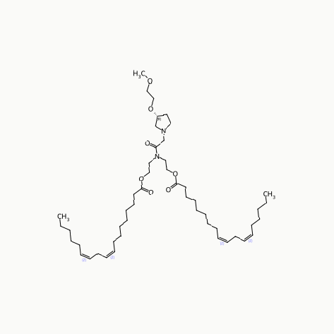 CCCCC/C=C\C/C=C\CCCCCCCC(=O)OCCN(CCOC(=O)CCCCCCC/C=C\C/C=C\CCCCC)C(=O)CN1CC[C@@H](OCCOC)C1